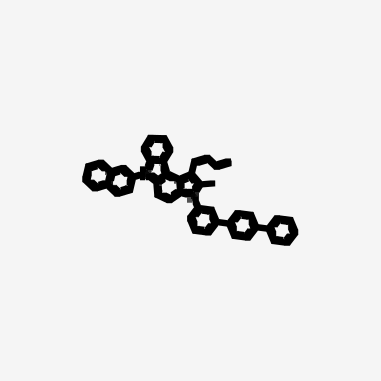 C=C/C=C\c1c(C)n(-c2cccc(-c3ccc(-c4ccccc4)cc3)c2)c2ccc3c(c4ccccc4n3-c3ccc4ccccc4c3)c12